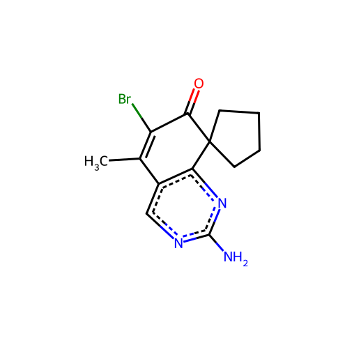 CC1=C(Br)C(=O)C2(CCCC2)c2nc(N)ncc21